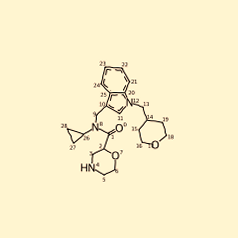 O=C(C1CNCCO1)N(Cc1cn(CC2CCOCC2)c2ccccc12)C1CC1